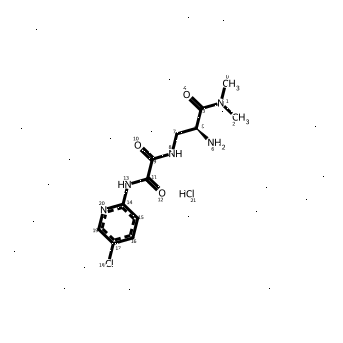 CN(C)C(=O)[C@@H](N)CNC(=O)C(=O)Nc1ccc(Cl)cn1.Cl